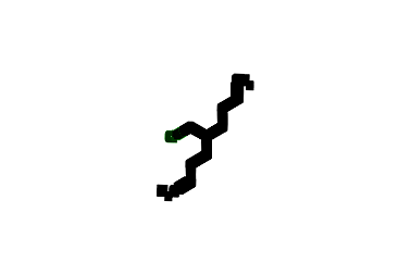 C=CCCC(CCl)CCC=C